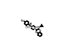 O=S(=O)(c1ccc(Br)cc1Cl)N1CCN(c2nc3ccccc3nc2NC2CC2)CC1